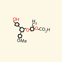 COc1ccc(-c2cc(COc3ccc(OCC(=O)O)c(C)c3)cc(-c3ccc(CO)cc3)c2)cc1